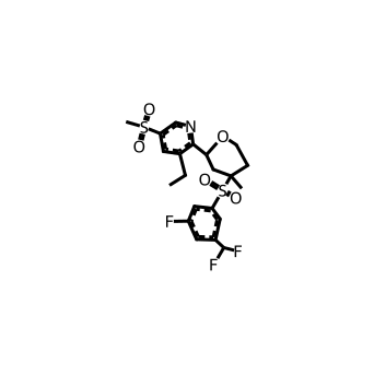 CCc1cc(S(C)(=O)=O)cnc1C1CC(C)(S(=O)(=O)c2cc(F)cc(C(F)F)c2)CCO1